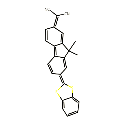 CC1(C)c2cc(=C(C#N)C#N)ccc2=c2ccc(=C3Sc4ccccc4S3)cc21